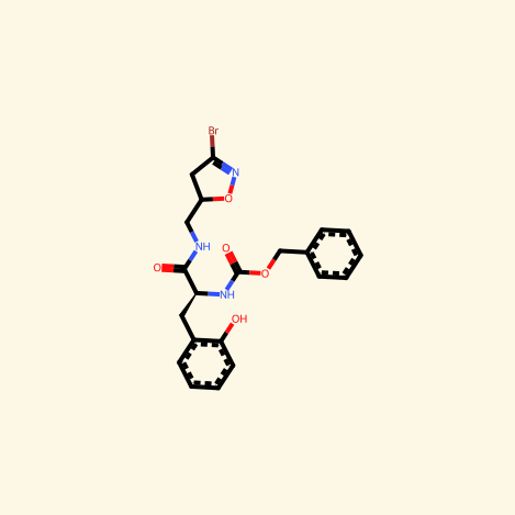 O=C(N[C@@H](Cc1ccccc1O)C(=O)NCC1CC(Br)=NO1)OCc1ccccc1